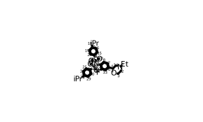 CCN1CCOC(c2ccc(N(S(=O)(=O)c3ccc(C(C)C)cc3)S(=O)(=O)c3ccc(C(C)C)cc3)c(F)c2)C1